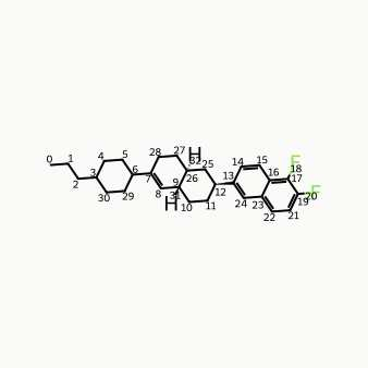 CCCC1CCC(C2=C[C@H]3CC[C@H](c4ccc5c(F)c(F)ccc5c4)C[C@@H]3CC2)CC1